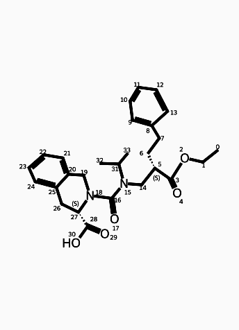 CCOC(=O)[C@@H](CCc1ccccc1)CN(C(=O)N1Cc2ccccc2C[C@H]1C(=O)O)C(C)C